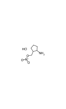 Cl.NC1CCCC1CO[N+](=O)[O-]